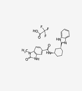 Cn1c(=O)[nH]c2cc(C(=O)N[C@@H]3CCC[C@H](c4nc5ccccc5[nH]4)C3)ccc21.O=C(O)C(F)(F)F